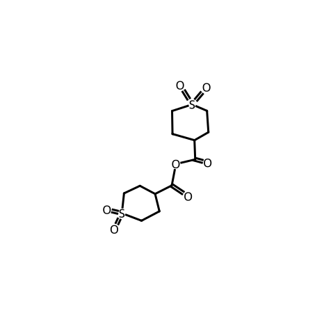 O=C(OC(=O)C1CCS(=O)(=O)CC1)C1CCS(=O)(=O)CC1